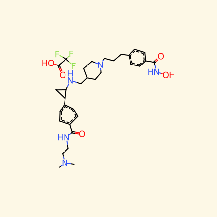 CN(C)CCNC(=O)c1ccc(C2CC2NCC2CCN(CCCc3ccc(C(=O)NO)cc3)CC2)cc1.O=C(O)C(F)(F)F